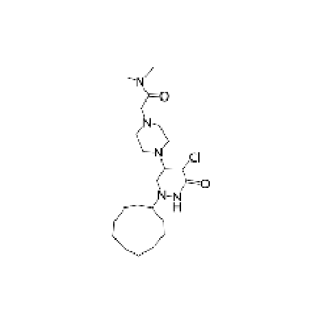 CN(C)C(=O)CN1CCN(C2CN(C3CCCCCCCCC3)NC(=O)C2Cl)CC1